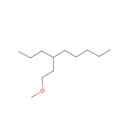 CCCCCC(CCC)CCOC